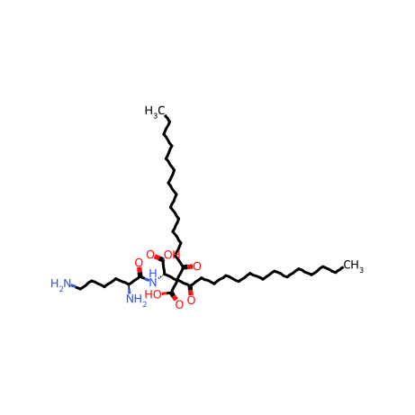 CCCCCCCCCCCCCC(=O)C(C(=O)O)(C(=O)CCCCCCCCCCCCC)[C@H](NC(=O)[C@@H](N)CCCCN)C(=O)O